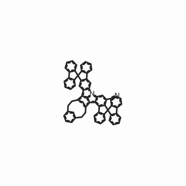 N#Cc1cc2c(c3c1C1(c4ccccc4-c4ccccc41)c1ccccc1-3)c1c3cc(c4c5cc6c(cc5n2c41)-c1ccccc1C61c2ccccc2-c2ccccc21)CCc1cccc(c1)CC3